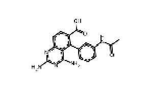 CC(=O)Nc1cccc(-c2c(C(=O)O)ccc3nc(N)nc(N)c23)c1